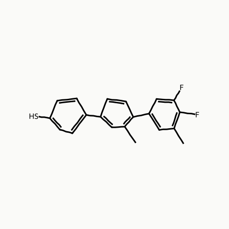 Cc1cc(-c2ccc(S)cc2)ccc1-c1cc(C)c(F)c(F)c1